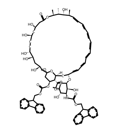 C[C@@H]1[C@H](O)[C@@H](C)/C=C/C=C/C=C/C=C/C=C/C=C/C=C/[C@H](O[C@@H]2O[C@H](C)[C@@H](O)[C@H](NC(=O)OCC3c4ccccc4-c4ccccc43)[C@@H]2O)C[C@@H]2O[C@](O)(C[C@@H](O)C[C@@H](O)[C@H](O)CC[C@@H](O)C[C@@H](O)CC(=O)O[C@H]1C)C[C@H](OC(=O)OCC1c3ccccc3-c3ccccc31)[C@H]2C(=O)O